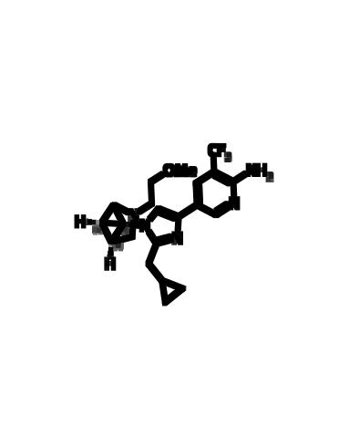 COCCN1C[C@H]2[C@H]3C1[C@@]32n1cc(-c2cnc(N)c(C(F)(F)F)c2)nc1CC1CC1